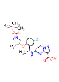 CC(CNC(=O)OC(C)(C)C)Oc1ccc(F)cc1C(C)Nc1ccn2ncc(C(=O)O)c2n1